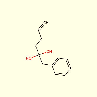 [CH]=CCCC(O)(O)Cc1ccccc1